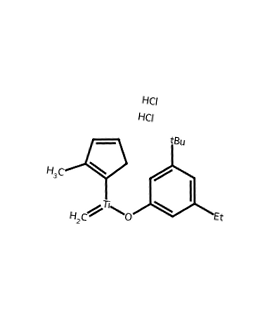 Cl.Cl.[CH2]=[Ti]([O]c1cc(CC)cc(C(C)(C)C)c1)[C]1=C(C)C=CC1